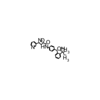 CC(C)c1ccccc1C(O)c1ccc(NC(=O)C2CC(c3cccnc3)=NO2)cc1